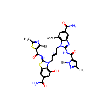 CCc1nc(C)sc1C(=O)/N=c1\sc2cc(C(N)=O)cc(O)c2n1C/C=C/Cn1c(NC(=O)c2cc(C)nn2CC)nc2cc(C(N)=O)cc(OC)c21